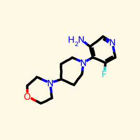 Nc1cncc(F)c1N1CCC(N2CCOCC2)CC1